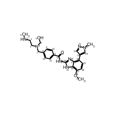 CNCCN(CO)Cc1ccc(C(=O)Nc2nc3c(-c4cnn(C)c4)ccc(OC)c3[nH]2)cc1